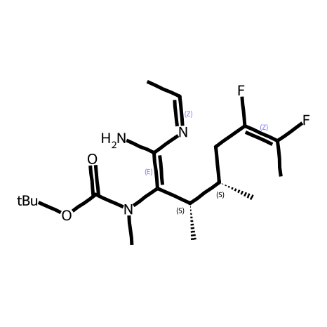 C/C=N\C(N)=C(/[C@@H](C)[C@@H](C)C/C(F)=C(\C)F)N(C)C(=O)OC(C)(C)C